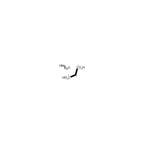 O.O=C(O)CC(=O)O.[NaH]